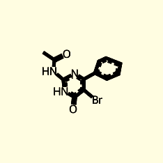 CC(=O)Nc1nc(-c2ccccc2)c(Br)c(=O)[nH]1